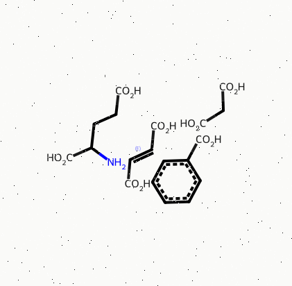 NC(CCC(=O)O)C(=O)O.O=C(O)/C=C/C(=O)O.O=C(O)CC(=O)O.O=C(O)c1ccccc1